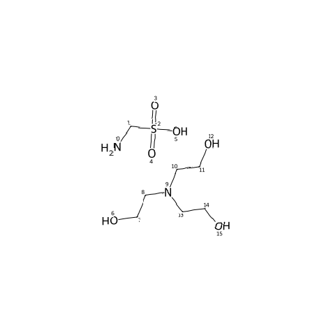 NCS(=O)(=O)O.OCCN(CCO)CCO